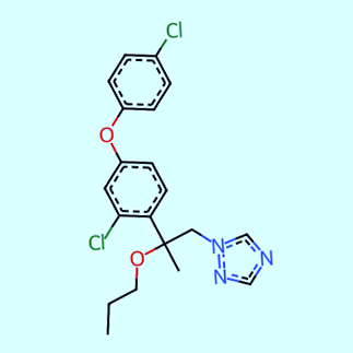 CCCOC(C)(Cn1cncn1)c1ccc(Oc2ccc(Cl)cc2)cc1Cl